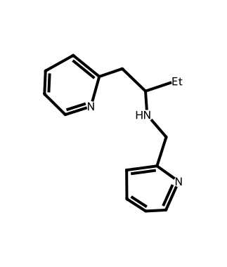 [CH2]CC(Cc1ccccn1)NCc1ccccn1